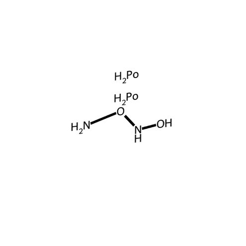 NONO.[PoH2].[PoH2]